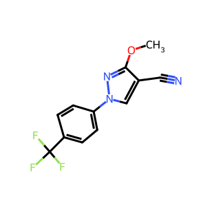 COc1nn(-c2ccc(C(F)(F)F)cc2)cc1C#N